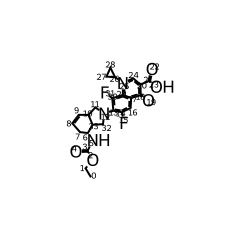 CCOC(=O)NC1CC=CC2CN(c3c(F)cc4c(=O)c(C(=O)O)cn(C5CC5)c4c3F)CC21